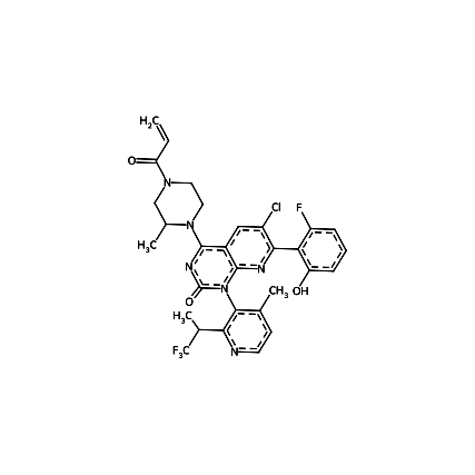 C=CC(=O)N1CCN(c2nc(=O)n(-c3c(C)ccnc3C(C)C(F)(F)F)c3nc(-c4c(O)cccc4F)c(Cl)cc23)C(C)C1